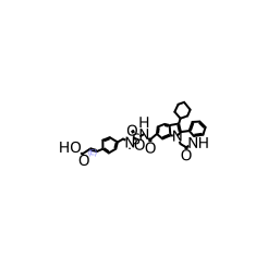 CN(Cc1ccc(/C=C/C(=O)O)cc1)S(=O)(=O)NC(=O)c1ccc2c(C3CCCCC3)c3n(c2c1)CC(=O)Nc1ccccc1-3